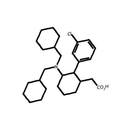 O=C(O)CC1CCCC(N(CC2CCCCC2)CC2CCCCC2)C1c1cccc(Cl)c1